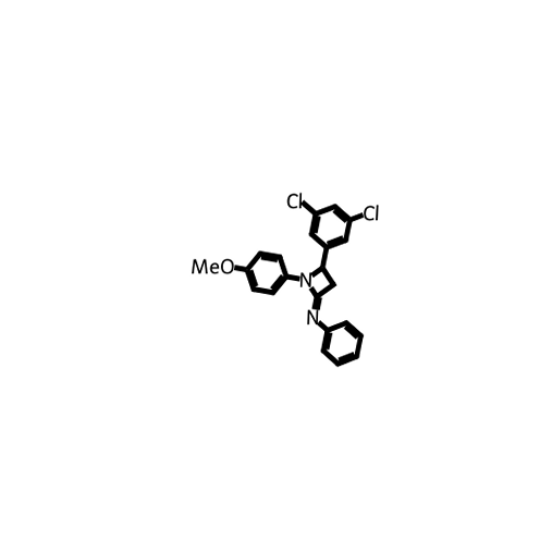 COc1ccc(N2/C(=N/c3ccccc3)CC2c2cc(Cl)cc(Cl)c2)cc1